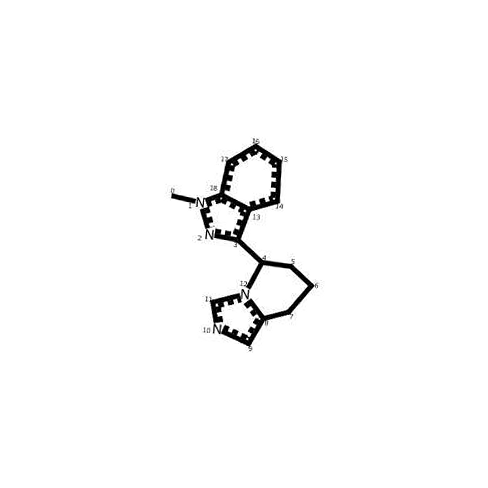 Cn1nc(C2CCCc3cncn32)c2ccccc21